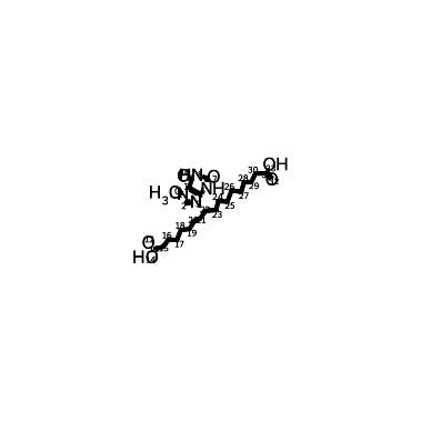 Cn1cnc2[nH]c(=O)[nH]c(=O)c21.O=C(O)CCCCCCCCCCCCCCCCC(=O)O